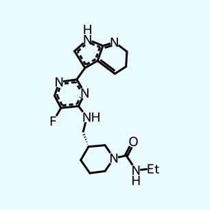 CCNC(=O)N1CCC[C@H](CNc2nc(-c3c[nH]c4c3=CCCN=4)ncc2F)C1